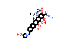 CN(C)[C@@H]1C(O)=C(C(N)=O)C(=O)[C@@]2(O)C(O)=C3C(=O)c4c(cc5ccc(CN6CC[C@H](O)C6)cc5c4O)C[C@H]3C[C@@H]12